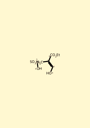 CCOC(=O)C(C)=CO.O=S(=O)(O)O